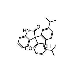 CC(C)c1ccc(O)c(C2(c3cc(C(C)C)ccc3O)C(=O)Nc3ccccc32)c1